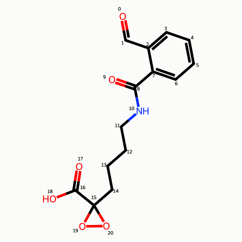 O=Cc1ccccc1C(=O)NCCCCC1(C(=O)O)OO1